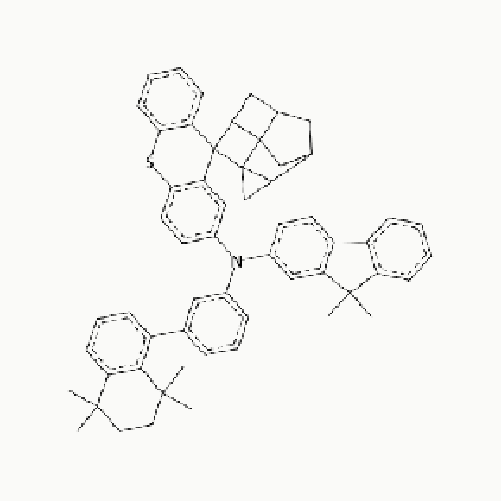 CC1(C)CCC(C)(C)c2c(-c3cccc(N(c4ccc5c(c4)C(C)(C)c4ccccc4-5)c4ccc5c(c4)C4(c6ccccc6S5)C5CC6CC7CC65C45CC75)c3)cccc21